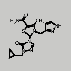 CC1=C(C(N)=O)SC(n2cnn(CC3CC3)c2=O)N1Cc1cc[nH]n1